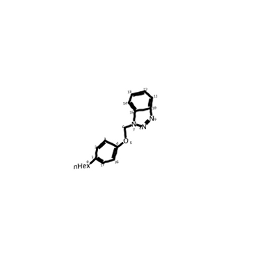 [CH2]CCCCCc1ccc(OCn2nnc3ccccc32)cc1